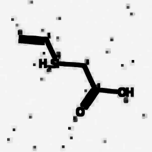 C=C[SiH2]CC(=O)O